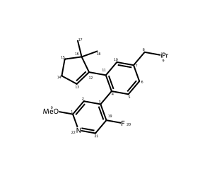 COc1cc(-c2ccc(CC(C)C)cc2C2=CCCC2(C)C)c(F)cn1